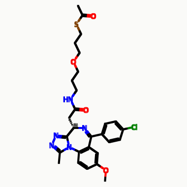 COc1ccc2c(c1)C(c1ccc(Cl)cc1)=N[C@@H](CC(=O)NCCCOCCCSC(C)=O)c1nnc(C)n1-2